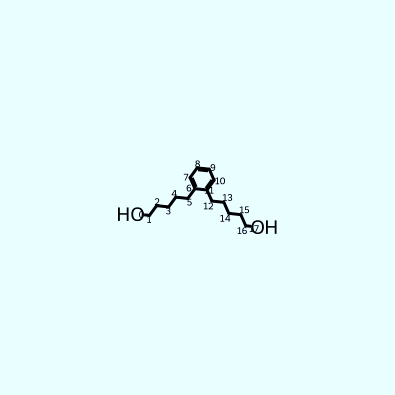 OCCCCCc1ccccc1CCCCCO